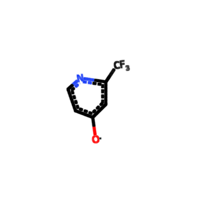 [O]c1ccnc(C(F)(F)F)c1